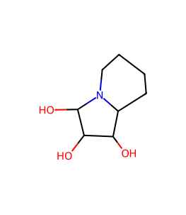 OC1C(O)C2CCCCN2C1O